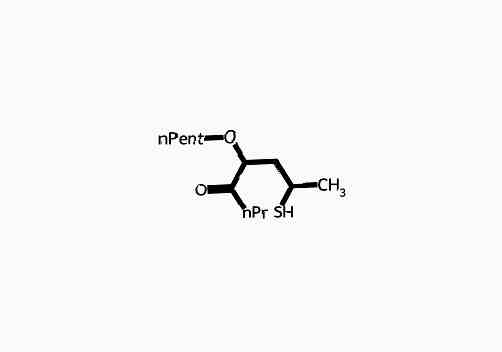 CCCCCOC(CC(C)S)C(=O)CCC